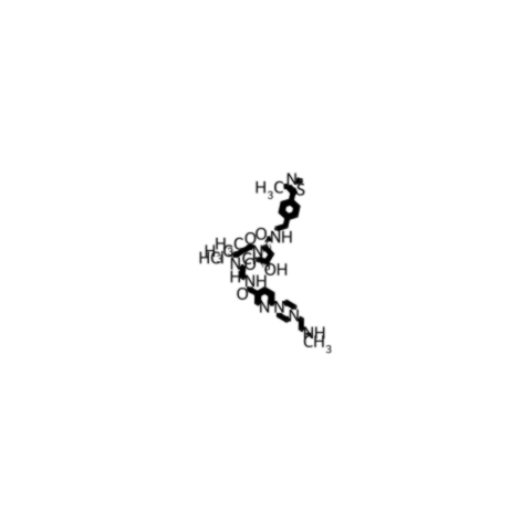 CNCCN1CCN(c2ccc(C(=O)NCC(=O)N[C@@H](C)C(C)(C)C(=O)N3C[C@H](O)C[C@H]3C(=O)NCCc3ccc(-c4scnc4C)cc3)cn2)CC1.Cl